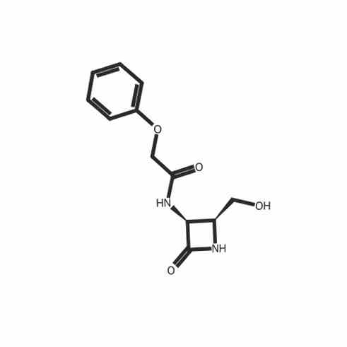 O=C(COc1ccccc1)N[C@@H]1C(=O)N[C@@H]1CO